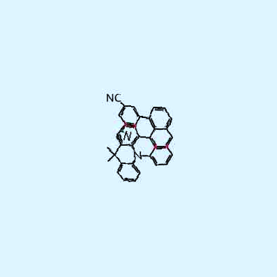 CC1(C)c2ccccc2N(c2ccccc2)c2c(-c3cccc4cccc(-c5cc(C#N)cc(C#N)c5)c34)cccc21